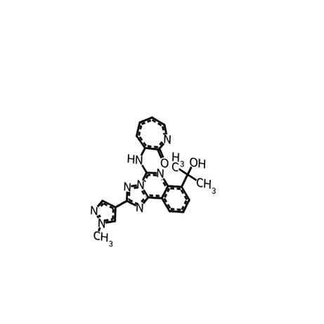 Cn1cc(-c2nc3c4cccc(C(C)(C)O)c4nc(Nc4ccccnc4=O)n3n2)cn1